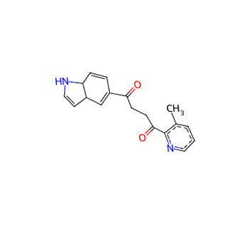 Cc1cccnc1C(=O)CCC(=O)C1=CC2C=CNC2C=C1